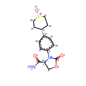 NC(=O)[C@@H]1COC(=O)N1c1ccc([C@H]2CC[S@@+]([O-])CC2)cc1